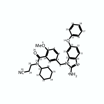 COc1ccc(Cn2c(N)nc3ccc(Oc4ccccc4)cc32)cc1C(=O)N(CCC#N)C1CCCCC1